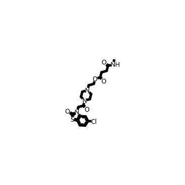 CNC(=O)CCC(=O)OCCN1CCN(C(=O)Cn2c(=O)sc3ccc(Cl)cc32)CC1